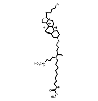 CC(C)CCC[C@@H](C)[C@H]1CC[C@H]2[C@@H]3CC=C4C[C@@H](SSCCC(=O)N(CCCCCCCCNC(=O)OC(C)(C)C)CCCNC(=O)O)CC[C@]4(C)[C@H]3CC[C@]12C